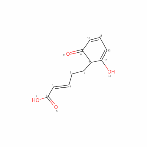 O=C(O)C=CCCC1C(=O)C=CC=C1O